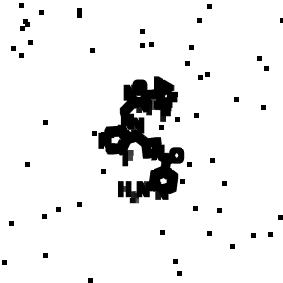 Nc1cc(C(=O)N2CC(c3nn(Cc4noc(C5(C(F)(F)F)CC5)n4)c4cncc(F)c34)C2)ccn1